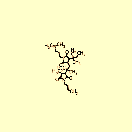 CCCCN1C(=O)C(C)C(C(C)(C)CC2C(=O)N(CCCN(C)C)C(=O)C2C(C)(C)CC)C1=O